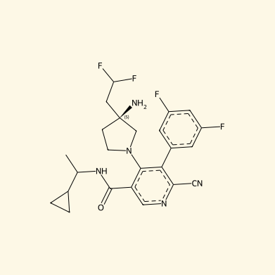 CC(NC(=O)c1cnc(C#N)c(-c2cc(F)cc(F)c2)c1N1CC[C@](N)(CC(F)F)C1)C1CC1